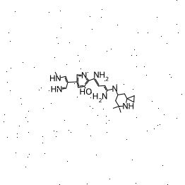 CN/C=C(\C=N)c1cnc(/C(N)=C/C=C(\N)N(C)C2CC(C)(C)NC3(CC3)C2)c(O)c1